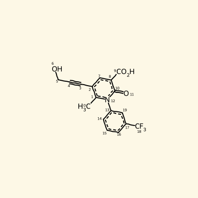 Cc1c(C#CCO)cc(C(=O)O)c(=O)n1-c1cccc(C(F)(F)F)c1